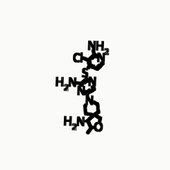 CC1OCC2(CCN(c3cnc(Sc4ccnc(N)c4Cl)c(N)n3)CC2)[C@@H]1N